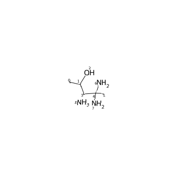 CC(O)CC(C)(N)N.N